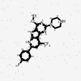 CCOc1nc(N2CCNCC2)nc2c1sc1nc(-c3ccc(F)cc3)cc(C(F)(F)F)c12